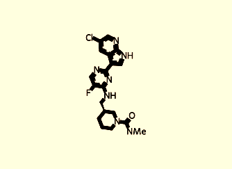 CNC(=O)N1CCC[C@@H](CNc2nc(-c3c[nH]c4ncc(Cl)cc34)ncc2F)C1